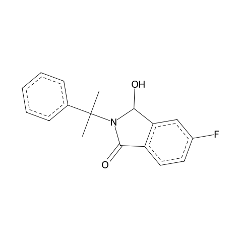 CC(C)(c1ccccc1)N1C(=O)c2ccc(F)cc2C1O